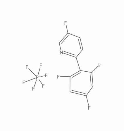 F[P-](F)(F)(F)(F)F.Fc1ccc(-c2c(F)cc(F)c[c]2[Ir])nc1